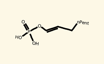 CCCCCCC=COP(=O)(O)O